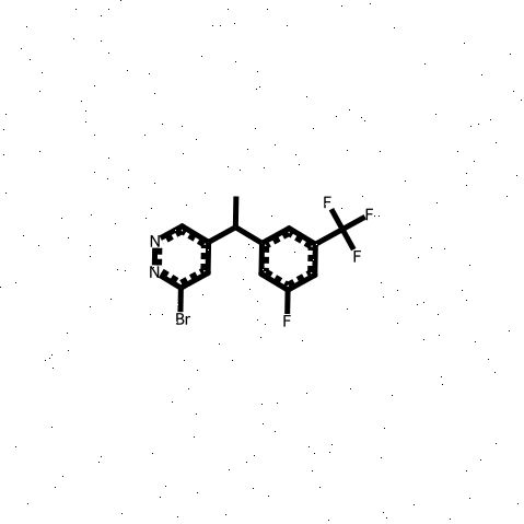 CC(c1cc(F)cc(C(F)(F)F)c1)c1cnnc(Br)c1